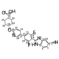 N#Cc1ccc2[nH]c(-c3c(F)cc(-c4ccc(O[C@H]5CC[C@@H](C(=O)O)CC5)nc4)cc3F)nc2c1